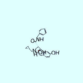 O=C(NCc1ccccc1)[C@@H]1C[C@]23CCN(CC4CC4)[C@H](Cc4ccc(O)cc42)[C@]3(O)C1